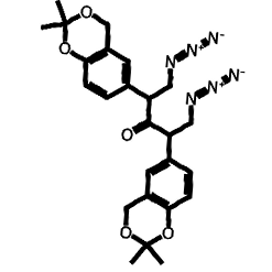 CC1(C)OCc2cc(C(CN=[N+]=[N-])C(=O)C(CN=[N+]=[N-])c3ccc4c(c3)COC(C)(C)O4)ccc2O1